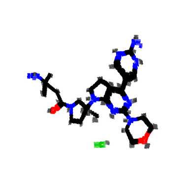 CC(C)(N)CC(=O)N1CC[C@](C)(N2CCc3c(-c4cnc(N)nc4)nc(N4CCOCC4)nc32)C1.Cl